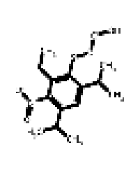 CCc1c(SOOO)c(C(C)C)cc(C(C)C)c1[N+](=O)[O-]